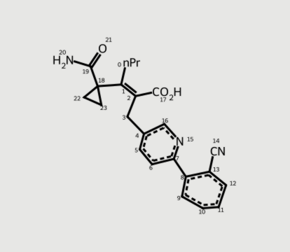 CCC/C(=C(/Cc1ccc(-c2ccccc2C#N)nc1)C(=O)O)C1(C(N)=O)CC1